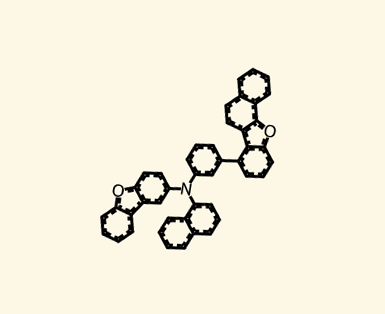 c1cc(-c2cccc3oc4c5ccccc5ccc4c23)cc(N(c2ccc3oc4ccccc4c3c2)c2cccc3ccccc23)c1